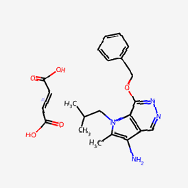 Cc1c(N)c2cnnc(OCc3ccccc3)c2n1CC(C)C.O=C(O)/C=C/C(=O)O